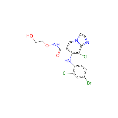 O=C(NOCCO)c1cn2ccnc2c(Cl)c1Nc1ccc(Br)cc1Cl